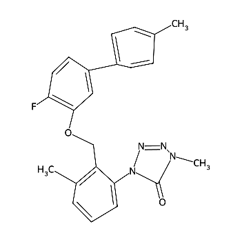 Cc1ccc(-c2ccc(F)c(OCc3c(C)cccc3-n3nnn(C)c3=O)c2)cc1